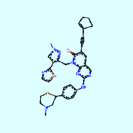 CN1CCSC(c2ccc(Nc3ncc4cc(C#CC5=CCCC5)c(=O)n(Cc5nn(C)cc5-c5nccs5)c4n3)cc2)C1